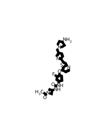 CC(=O)N1CC(NC(=O)Nc2ccc(Oc3ccnc4cc(-c5ccc(CN6CCC(N)CC6)cn5)sc34)c(F)c2)C1